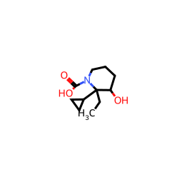 CCC1(C2CC2)C(O)CCCN1C(=O)O